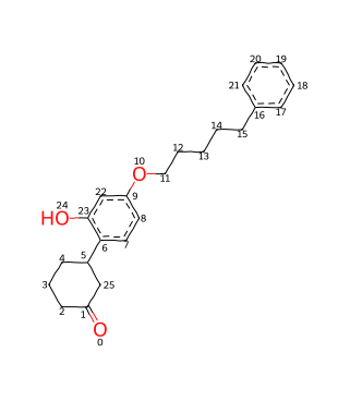 O=C1CCCC(c2ccc(OCCCCCc3ccccc3)cc2O)C1